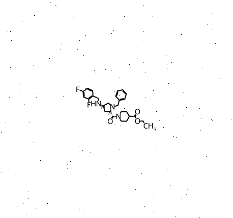 CCOC(=O)C1CCN(C(=O)[C@@H]2C[C@H](NCc3ccc(F)cc3F)CN2Cc2ccccc2)CC1